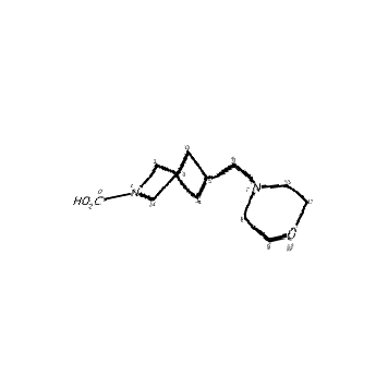 O=C(O)N1CC2(CC(CN3CCOCC3)C2)C1